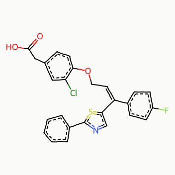 O=C(O)Cc1ccc(OCC=C(c2ccc(F)cc2)c2cnc(-c3ccccc3)s2)c(Cl)c1